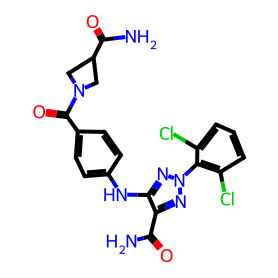 NC(=O)c1nn(-c2c(Cl)cccc2Cl)nc1Nc1ccc(C(=O)N2CC(C(N)=O)C2)cc1